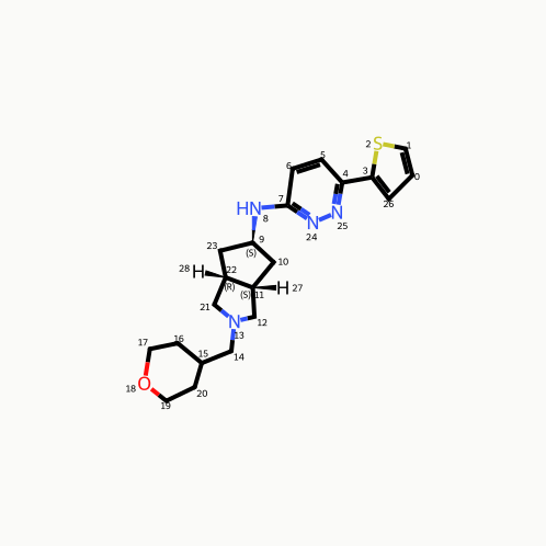 c1csc(-c2ccc(N[C@H]3C[C@@H]4CN(CC5CCOCC5)C[C@@H]4C3)nn2)c1